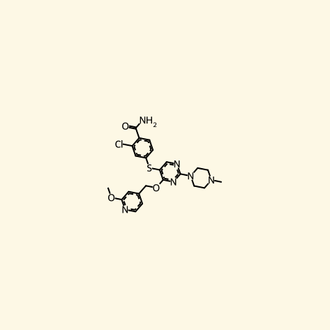 COc1cc(COc2nc(N3CCN(C)CC3)ncc2Sc2ccc(C(N)=O)c(Cl)c2)ccn1